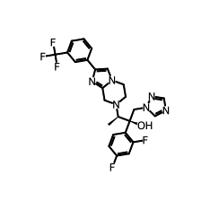 C[C@@H](N1CCn2cc(-c3cccc(C(F)(F)F)c3)nc2C1)[C@](O)(Cn1cncn1)c1ccc(F)cc1F